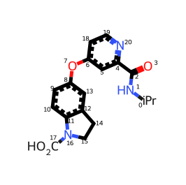 CC(C)NC(=O)c1cc(Oc2ccc3c(c2)CCN3C(=O)O)ccn1